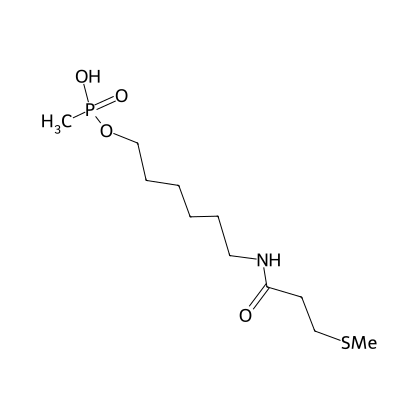 CSCCC(=O)NCCCCCCOP(C)(=O)O